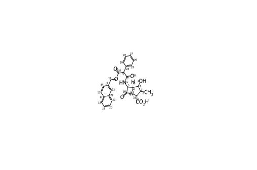 CC1C(O)[C@@H]2C(NC(=O)C(C(=O)OCc3ccc4ccccc4c3)c3ccccc3)C(=O)N2C1C(=O)O